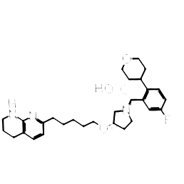 O=C(O)[C@H](c1cc(F)ccc1C1CCOCC1)N1CC[C@@H](OCCCCCc2ccc3c(n2)NCCC3)C1